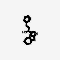 OC(CCc1ccccc1)c1cnc2sc3c(n12)CCCC3